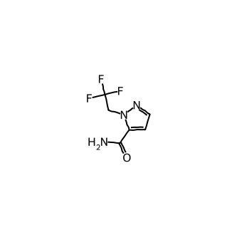 NC(=O)c1ccnn1CC(F)(F)F